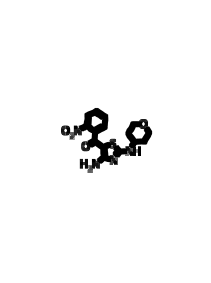 Nc1nc(NC2CCOCC2)sc1C(=O)c1ccccc1[N+](=O)[O-]